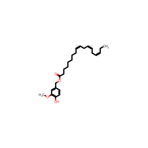 CC/C=C\C/C=C\C/C=C\CCCCCCCC(=O)OCc1ccc(O)c(OC)c1